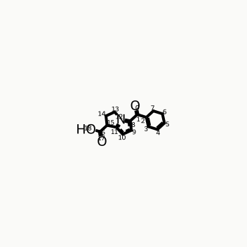 O=C(C1=CC=CCC1)c1ccc2n1CCC2C(=O)O